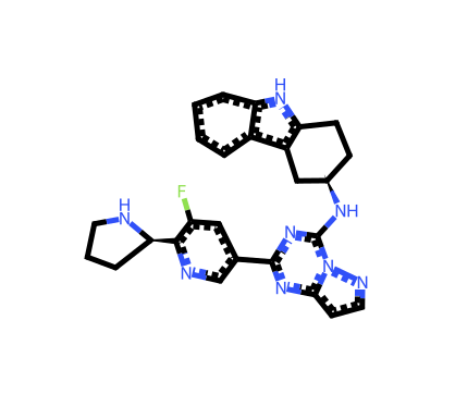 Fc1cc(-c2nc(N[C@@H]3CCc4[nH]c5ccccc5c4C3)n3nccc3n2)cnc1[C@H]1CCCN1